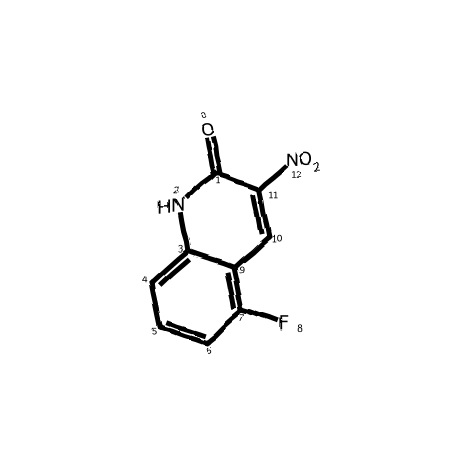 O=c1[nH]c2cccc(F)c2cc1[N+](=O)[O-]